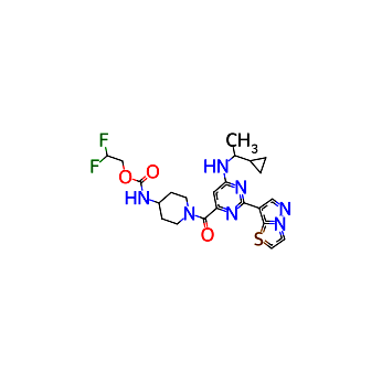 CC(Nc1cc(C(=O)N2CCC(NC(=O)OCC(F)F)CC2)nc(-c2cnn3ccsc23)n1)C1CC1